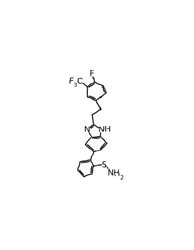 NSc1ccccc1-c1ccc2[nH]c(CCc3ccc(F)c(C(F)(F)F)c3)nc2c1